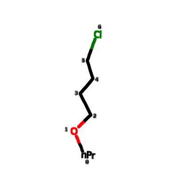 CCCOCCCCCl